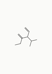 C=CC(C(=C)CC)C(C)C